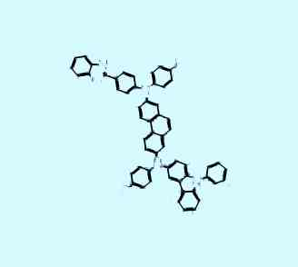 Fc1ccc(N(c2ccc(-c3nc4ccccc4o3)cc2)c2ccc3c(ccc4cc(N(c5ccc(F)cc5)c5ccc6c(c5)c5ccccc5n6-c5ccccc5)ccc43)c2)cc1